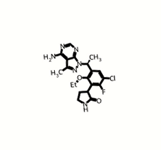 CCOc1c([C@H](C)n2nc(C)c3c(N)ncnc32)cc(Cl)c(F)c1C1CCNC1=O